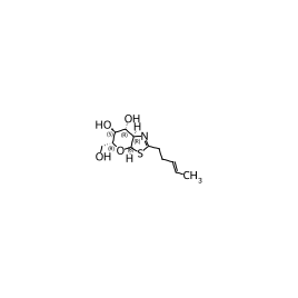 CC=CCCC1=N[C@@H]2[C@@H](O)[C@H](O)[C@@H](CO)O[C@@H]2S1